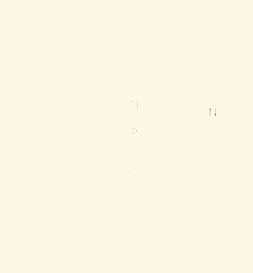 O=P(Cl)(c1ccccc1)c1cccnc1